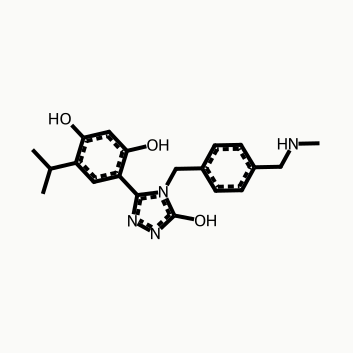 CNCc1ccc(Cn2c(O)nnc2-c2cc(C(C)C)c(O)cc2O)cc1